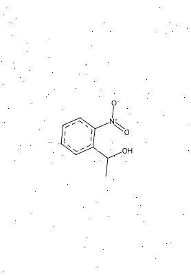 CC(O)c1c[c]ccc1[N+](=O)[O-]